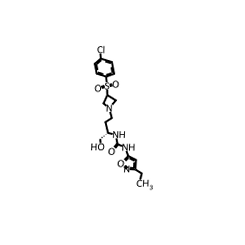 CCc1cc(NC(=O)N[C@H](CO)CCN2CC(S(=O)(=O)c3ccc(Cl)cc3)C2)on1